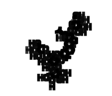 CC(C)=CCC[C@](C)(O[C@@H]1O[C@H](CO)[C@@H](O)[C@H](O)[C@H]1O)[C@H]1CC[C@]2(C)[C@@H]1[C@H](O)CC1[C@@]3(C)C[C@@H](O)[C@H](O[C@@H]4O[C@H](COC5OCC(O)C(O)C5O)[C@@H](O)[C@H](O)[C@H]4O[C@@H]4O[C@H](CO)[C@@H](O)[C@H](O)[C@H]4O)C(C)(C)C3CC[C@]12C